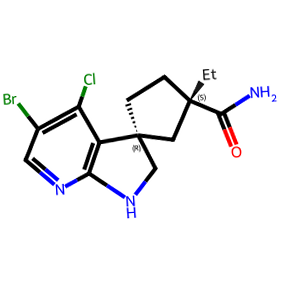 CC[C@]1(C(N)=O)CC[C@@]2(CNc3ncc(Br)c(Cl)c32)C1